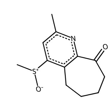 Cc1cc([S+](C)[O-])c2c(n1)C(=O)CCCC2